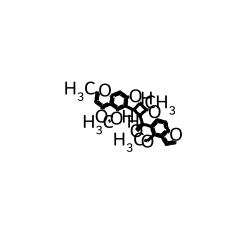 COc1c2c(cc3occc13)O[C@]1(C)[C@H](C2=O)[C@@H]2c3c(cc4oc(C)cc(=O)c4c3OC)O[C@@H]21